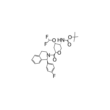 CC(C)(C)OC(=O)N[C@@H]1CO[C@@H](C(=O)N2CCc3ccccc3[C@@H]2c2ccc(F)cc2)C[C@@H]1OC(F)F